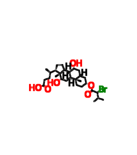 CC(C)C(Br)C(=O)O[C@@H]1CC[C@@]2(C)[C@@H](C1)C[C@@H](O)[C@@H]1[C@@H]2C[C@H](O)[C@]2(C)[C@@H]([C@H](C)CCC(=O)O)CC[C@@H]12